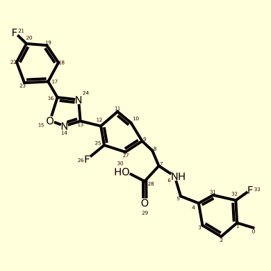 Cc1ccc(CNC(Cc2ccc(-c3noc(-c4ccc(F)cc4)n3)c(F)c2)C(=O)O)cc1F